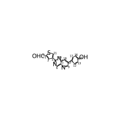 O=Cc1cc(-c2ncc3ncc(-c4ccc(O)cc4)cc3n2)cs1